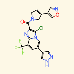 O=C(c1nc2c(C(F)(F)F)cc(-c3cn[nH]c3)cn2c1Cl)N1CC=C(c2cnoc2)C1